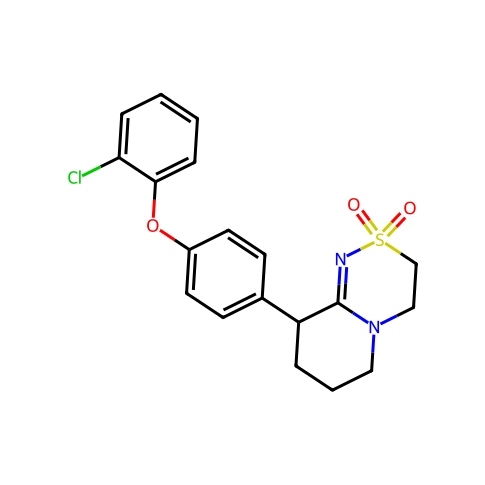 O=S1(=O)CCN2CCCC(c3ccc(Oc4ccccc4Cl)cc3)C2=N1